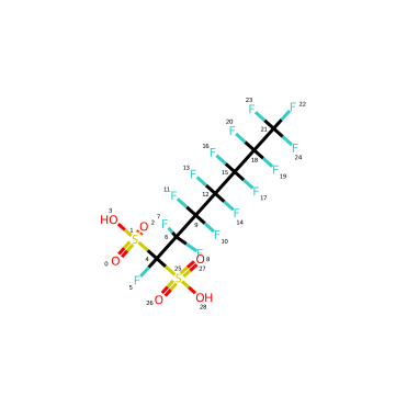 O=S(=O)(O)C(F)(C(F)(F)C(F)(F)C(F)(F)C(F)(F)C(F)(F)C(F)(F)F)S(=O)(=O)O